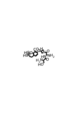 N[C@H](CO)C(=O)N[C@H](N)C(=O)N1CC(Oc2ccc3c(c2C(=O)O)O[B-](O)(O)CC3)C1